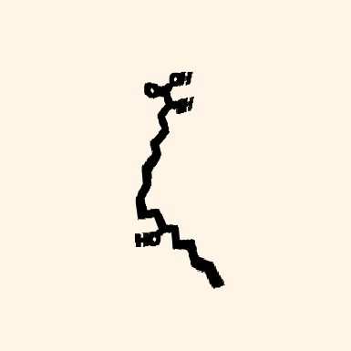 CCCCCC[C@@H](O)C/C=C\CCCCCCC(S)C(=O)O